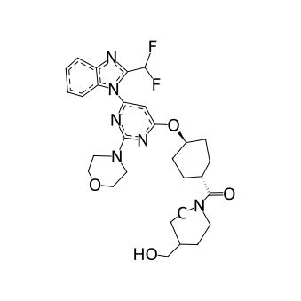 O=C([C@H]1CC[C@H](Oc2cc(-n3c(C(F)F)nc4ccccc43)nc(N3CCOCC3)n2)CC1)N1CCC(CO)CC1